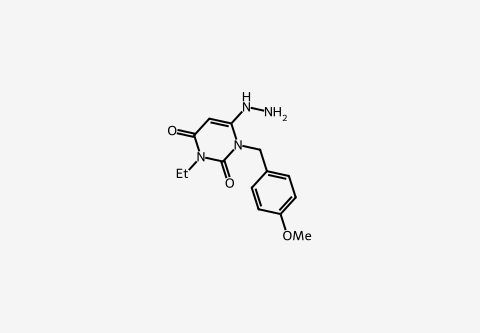 CCn1c(=O)cc(NN)n(Cc2ccc(OC)cc2)c1=O